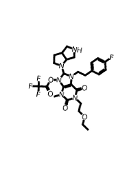 CCOCCn1c(=O)c2c(n(C)c1=O)N(OC(=O)C(F)(F)F)C(N1CCC3CNCC31)N2CCc1ccc(F)cc1